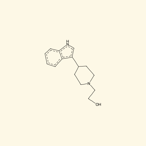 OCCN1CCC(c2c[nH]c3ccccc23)CC1